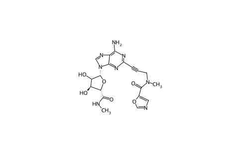 CNC(=O)[C@H]1O[C@@H](n2cnc3c(N)nc(C#CCN(C)C(=O)c4cnco4)nc32)C(O)[C@@H]1O